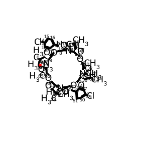 CC(C)C[C@H]1C(=O)O[C@H](Cc2ccc(Cl)cc2)C(=O)N(C)[C@@H](CC(C)C)C(=O)O[C@H](C)C(=O)N(C)[C@@H](CC(C)C)C(=O)O[C@H](Cc2ccc(Cl)cc2)C(=O)N(C)[C@@H](CC(C)C)C(=O)O[C@H](C)C(=O)N1C